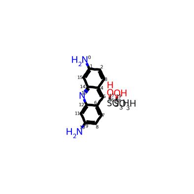 Nc1ccc2cc3ccc(N)cc3nc2c1.O=S(=O)(O)O.O=S(=O)(O)O